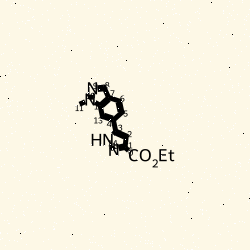 CCOC(=O)c1cc(-c2ccc3cnn(C)c3c2)[nH]n1